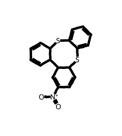 O=[N+]([O-])C1=CC2C(C=C1)Sc1ccccc1SC1C=CC=CC12